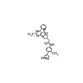 Cc1nc2c3c(n1)N1CC(CC(=O)Nc4ccc(-c5cn[nH]c5)c(C)c4)CC1[SH]3(=O)c1ccccc1-2